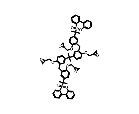 CC(C)(c1ccc(OCC2CO2)c(Cc2cc(C(C)(C)P3(=O)Oc4ccccc4-c4ccccc43)ccc2OCC2CO2)c1)c1ccc(OCC2CO2)c(Cc2cc(C(C)(C)P3(=O)Oc4ccccc4-c4ccccc43)ccc2OCC2CO2)c1